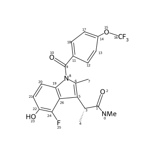 CNC(=O)[C@H](C)c1c(C)n(C(=O)c2ccc(OC(F)(F)F)cc2)c2ccc(O)c(F)c12